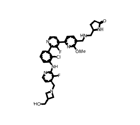 COc1nc(-c2ccnc(-c3cccc(Nc4nccc(CN5CC(CO)C5)c4F)c3Cl)c2F)ccc1CNCC1CCC(=O)N1